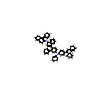 c1ccc(-c2cc(N(c3ccccc3)c3ccc(-c4cc5ccccc5c5ccccc45)cc3)ccc2-c2ccc(-n3c4ccccc4c4c5ccccc5ccc43)c3ccccc23)cc1